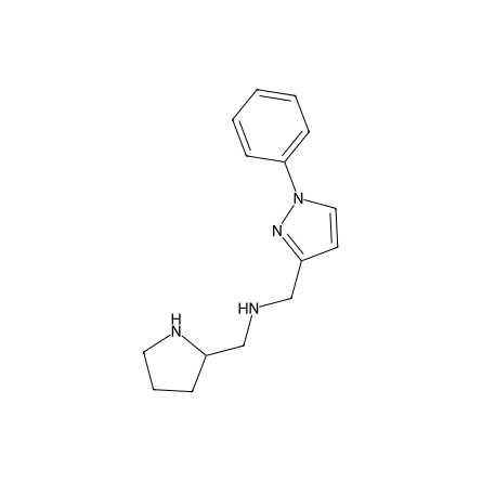 c1ccc(-n2ccc(CNCC3CCCN3)n2)cc1